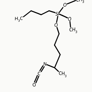 CCCC[Si](OC)(OC)OCCCC(C)N=C=O